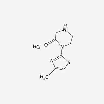 Cc1csc(N2CCNCC2=O)n1.Cl